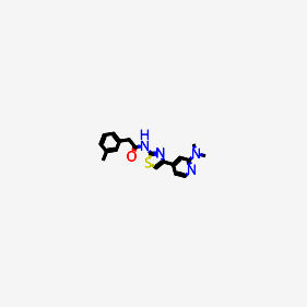 Cc1cccc(CC(=O)Nc2nc(-c3ccnc(N(C)C)c3)cs2)c1